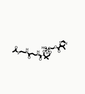 CC(=O)SCCNC(=O)CCNC(=O)[C@@H]1O[PH](O)(OCOC(=O)c2scnc2C)OCC1(C)C